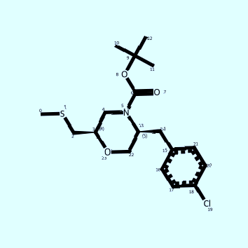 CSC[C@H]1CN(C(=O)OC(C)(C)C)[C@@H](Cc2ccc(Cl)cc2)CO1